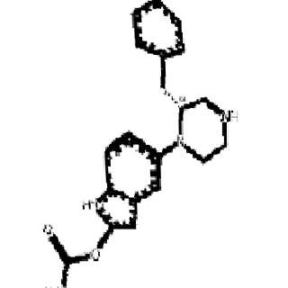 NC(=O)Oc1cc2cc(N3CCNC[C@H]3Cc3ccccc3)ccc2[nH]1